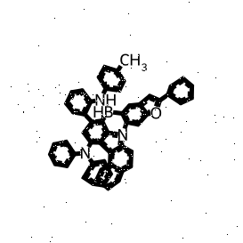 Cc1ccc(Nc2ccccc2-c2cc(N(c3ccccc3)c3ccccc3)c3c4c5ccccc5ccc4n4c3c2Bc2cc3cc(-c5ccccc5)oc3cc2-4)cc1